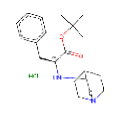 CC(C)(C)OC(=O)[C@H](Cc1ccccc1)NC1CN2CCC1CC2.Cl